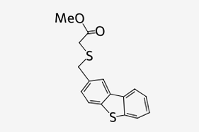 COC(=O)CSCc1ccc2sc3ccccc3c2c1